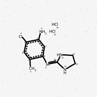 Cc1cc(Cl)c(N)cc1N=C1NCCN1.Cl.Cl